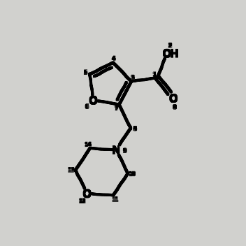 O=C(O)c1ccoc1CN1CCOCC1